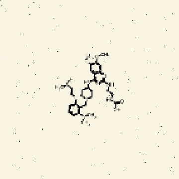 COc1cc2nc(NCCNC(=O)O)nc(NC3CCN(Cc4c(OCCN(C)C)cccc4N(C)C)CC3)c2cc1OC